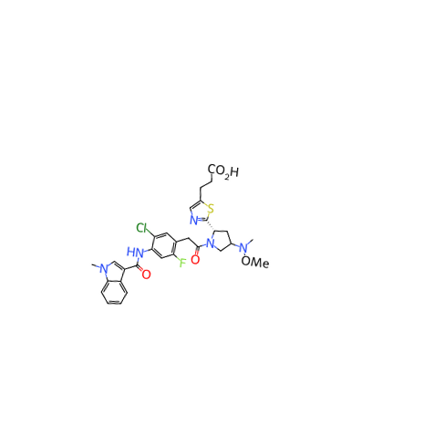 CON(C)C1C[C@@H](c2ncc(CCC(=O)O)s2)N(C(=O)Cc2cc(Cl)c(NC(=O)c3cn(C)c4ccccc34)cc2F)C1